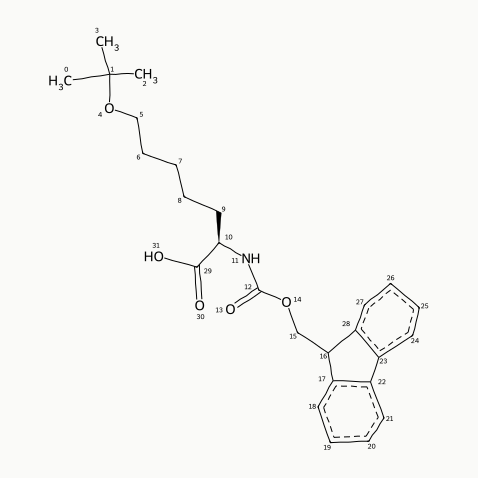 CC(C)(C)OCCCCC[C@@H](NC(=O)OCC1c2ccccc2-c2ccccc21)C(=O)O